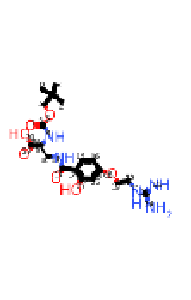 CC(C)(C)COC(=O)N[C@@H](CNC(=O)c1ccc(OCCNC(=N)N)cc1O)C(=O)O